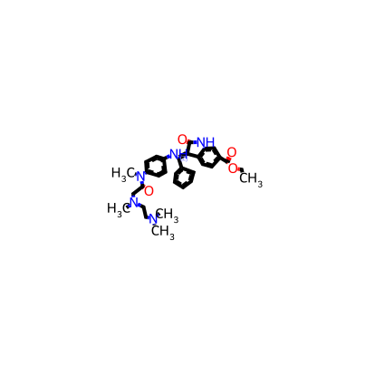 CCOC(=O)c1ccc2c(c1)NC(=O)/C2=C(\Nc1ccc(N(C)C(=O)CN(C)CCN(C)C)cc1)c1ccccc1